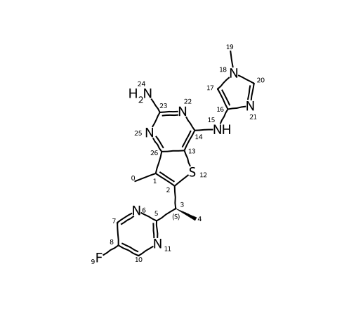 Cc1c([C@@H](C)c2ncc(F)cn2)sc2c(Nc3cn(C)cn3)nc(N)nc12